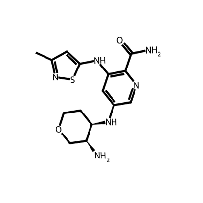 Cc1cc(Nc2cc(N[C@@H]3CCOC[C@@H]3N)cnc2C(N)=O)sn1